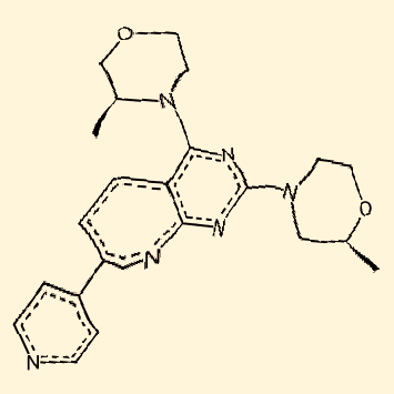 C[C@H]1CN(c2nc(N3CCOC[C@@H]3C)c3ccc(-c4ccncc4)nc3n2)CCO1